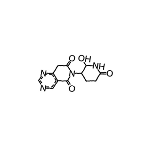 O=C1CCC(N2C(=O)Cc3ncncc3C2=O)C(O)N1